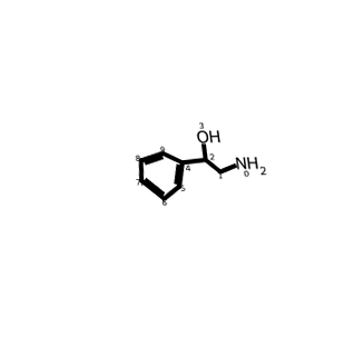 NCC(O)c1cc[c]cc1